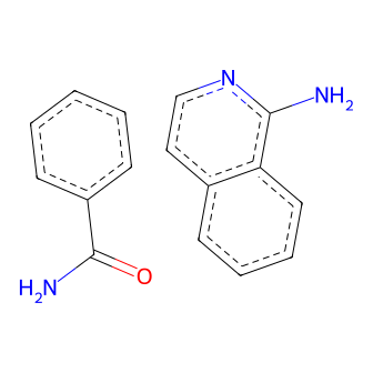 NC(=O)c1ccccc1.Nc1nccc2ccccc12